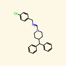 Clc1ccc(C/N=C/N2CCC(C(c3ccccc3)c3ccccc3)CC2)cc1